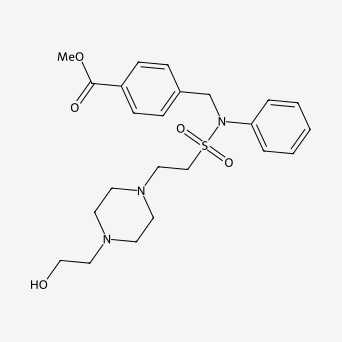 COC(=O)c1ccc(CN(c2ccccc2)S(=O)(=O)CCN2CCN(CCO)CC2)cc1